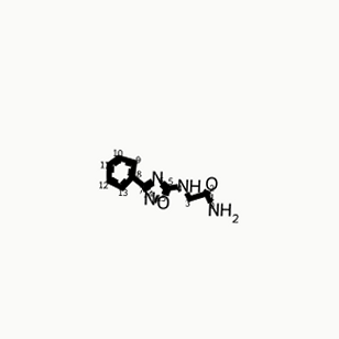 NC(=O)CNc1nc(-c2ccccc2)no1